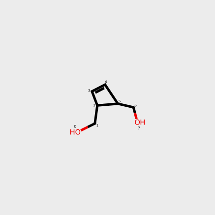 OCC1C=CC1CO